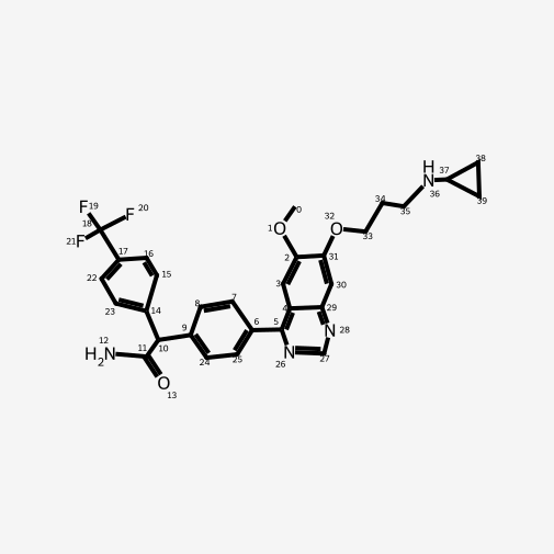 COc1cc2c(-c3ccc(C(C(N)=O)c4ccc(C(F)(F)F)cc4)cc3)ncnc2cc1OCCCNC1CC1